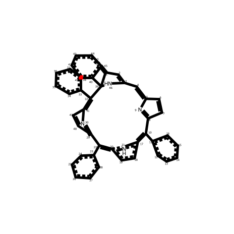 O=C1C=C2C=C3C=CC(=N3)C(c3ccccc3)=c3ccc([nH]3)=C(c3ccccc3)C3=NC(=C(c4ccccc4)C1(c1ccccc1)N2)C=C3